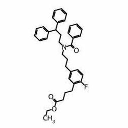 CCOC(=O)CCCc1cc(CCCN(CCC(c2ccccc2)c2ccccc2)C(=O)c2ccccc2)ccc1F